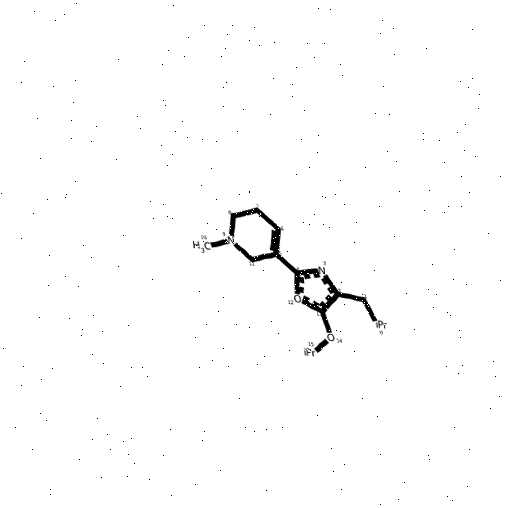 CC(C)Cc1nc(C2=CCCN(C)C2)oc1OC(C)C